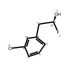 O[C@@H](F)Cc1cccc(Cl)c1